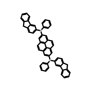 c1ccc(N(c2ccc3c(c2)-c2ccccc2C3)c2cc3ccc4cc(N(c5ccccc5)c5ccc6c(c5)-c5ccccc5C6)cc5ccc(c2)c3c45)cc1